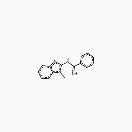 Cn1c(NC(=N)c2ccccc2)nc2ccccc21